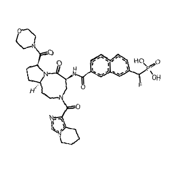 O=C(N[C@H]1CN(C(=O)c2ncn3c2CCCC3)CC[C@H]2CC[C@@H](C(=O)N3CCOCC3)N2C1=O)c1ccc2ccc(C(F)P(=O)(O)O)cc2c1